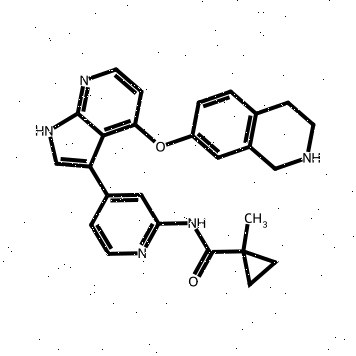 CC1(C(=O)Nc2cc(-c3c[nH]c4nccc(Oc5ccc6c(c5)CNCC6)c34)ccn2)CC1